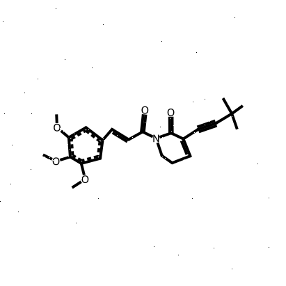 COc1cc(/C=C/C(=O)N2CCC=C(C#CC(C)(C)C)C2=O)cc(OC)c1OC